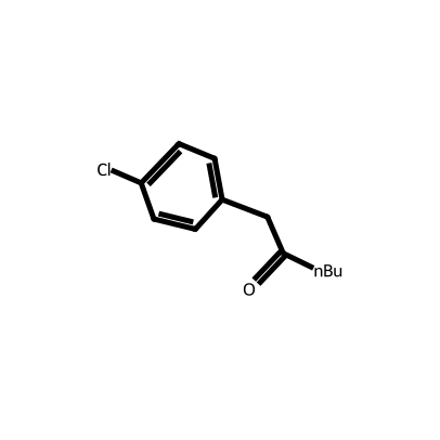 CCCCC(=O)Cc1ccc(Cl)cc1